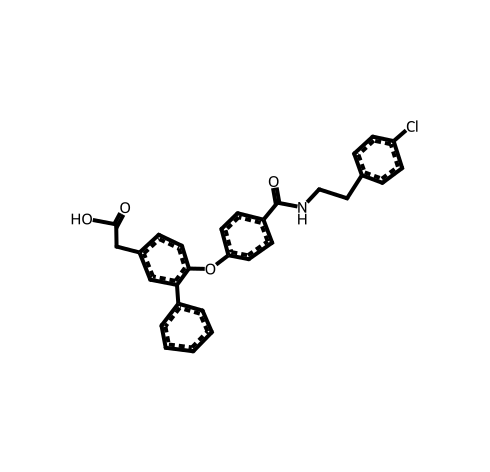 O=C(O)Cc1ccc(Oc2ccc(C(=O)NCCc3ccc(Cl)cc3)cc2)c(-c2ccccc2)c1